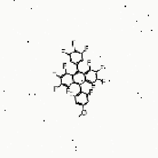 COc1cc(F)c(-c2c3c(F)c(F)c(F)c(F)c3c(-c3cc(F)c(F)c(F)c3)c3c(F)c(F)c(F)c(F)c23)c(F)c1